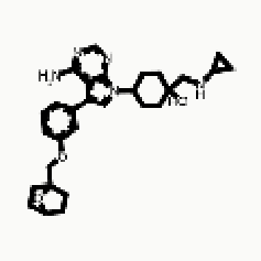 Nc1ncnc2c1c(-c1cccc(OCC34CCC(CC3)O4)c1)cn2C1CCC(O)(CNC2CC2)CC1